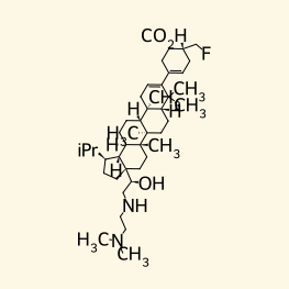 CC(C)[C@@H]1CC[C@]2([C@@H](O)CNCCN(C)C)CC[C@]3(C)[C@H](CC[C@@H]4[C@@]5(C)CC=C(C6=CC[C@](CF)(C(=O)O)CC6)C(C)(C)[C@@H]5CC[C@]43C)[C@@H]12